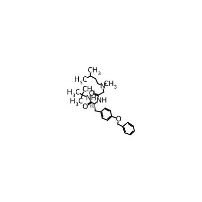 CC(C)CCN(C)CC(=O)N[C@@H](Cc1ccc(OCc2ccccc2)cc1)C(=O)NC(C)(C)C